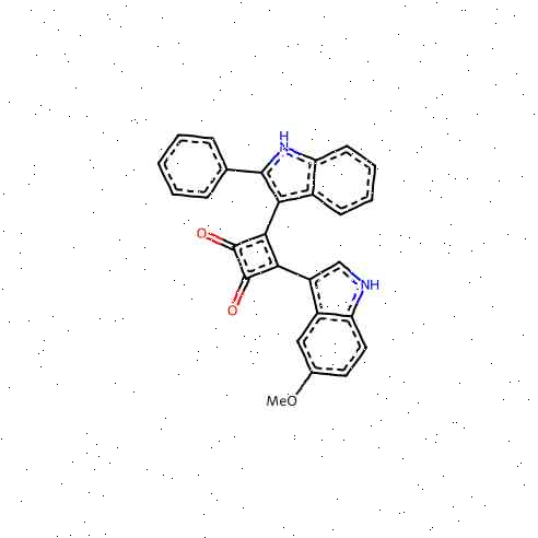 COc1ccc2[nH]cc(-c3c(-c4c(-c5ccccc5)[nH]c5ccccc45)c(=O)c3=O)c2c1